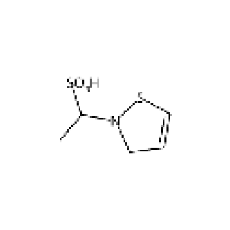 CC(N1CC=CS1)S(=O)(=O)O